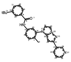 Cc1ccc(NC(=O)c2cccc(C(C)(C)C)c2)cc1-n1ccn2nc(-c3cccnc3)cc12